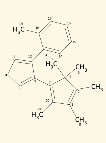 CC1=C(C)C(C)(C)C(C2=CC[C]=C2c2ccccc2C)=C1C